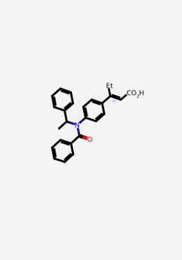 CC/C(=C\C(=O)O)c1ccc(N(C(=O)c2ccccc2)C(C)c2ccccc2)cc1